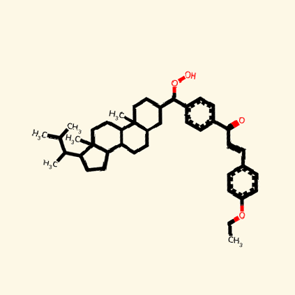 CCOc1ccc(/C=C/C(=O)c2ccc(C(OO)C3CCC4(C)C(CCC5C4CCC4(C)C(C(C)C(C)C)CCC54)C3)cc2)cc1